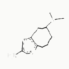 CN(C)C1CCc2nc(N)sc2C1